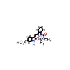 CN(C)C(=O)c1[nH]c(C=C2C(=O)Nc3cc(C(=O)O)ccc32)c2c1CCCC2